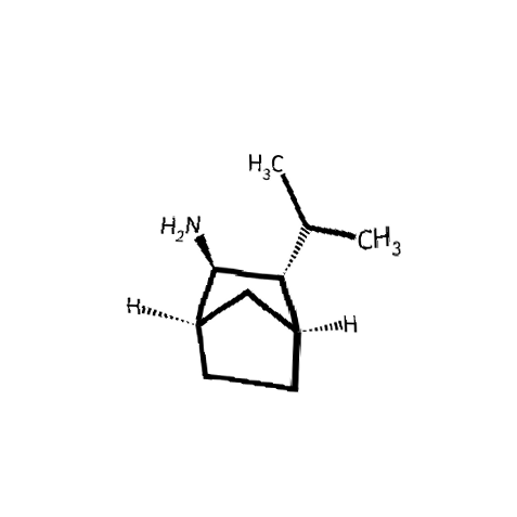 CC(C)[C@@H]1[C@H]2CC[C@H](C2)[C@H]1N